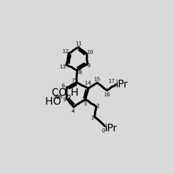 CC(C)CCc1cccc(-c2ccccc2)c1CCC(C)C.O=C(O)O